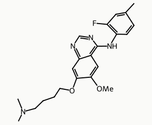 COc1cc2c(Nc3ccc(C)cc3F)ncnc2cc1OCCCCN(C)C